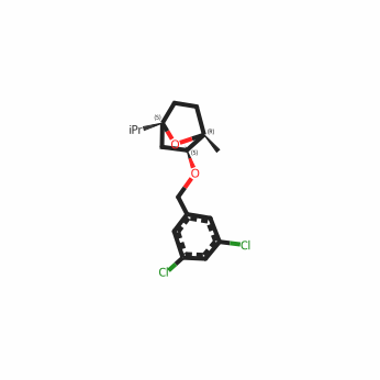 CC(C)[C@@]12CC[C@@](C)(O1)[C@@H](OCc1cc(Cl)cc(Cl)c1)C2